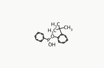 CC(C)(C)c1ccccc1OP(O)c1ccccc1